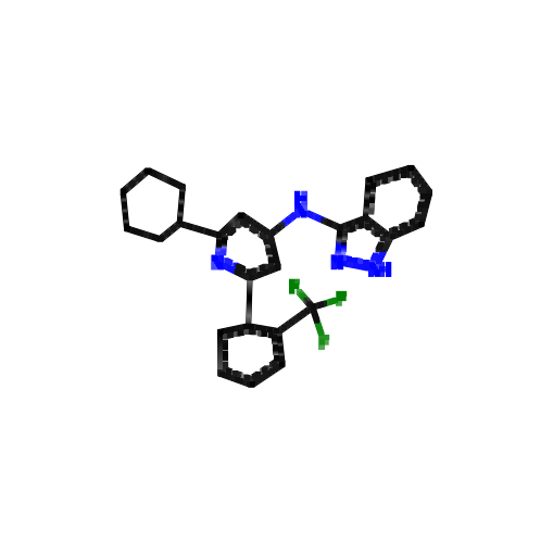 FC(F)(F)c1ccccc1-c1cc(Nc2n[nH]c3ccccc23)cc(C2CCCCC2)n1